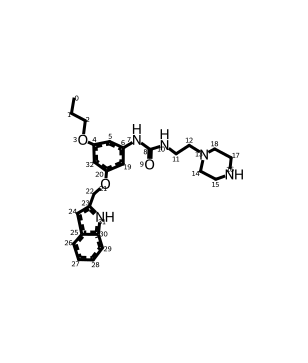 CCCOc1cc(NC(=O)NCCN2CCNCC2)cc(OCc2cc3ccccc3[nH]2)c1